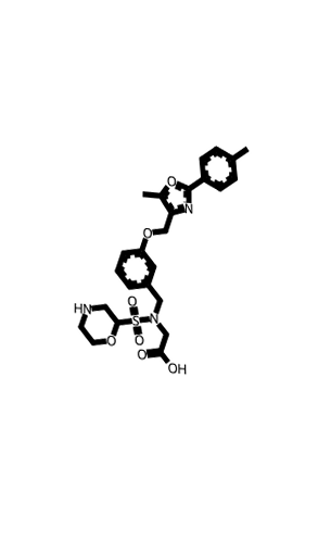 Cc1ccc(-c2nc(COc3cccc(CN(CC(=O)O)S(=O)(=O)C4CNCCO4)c3)c(C)o2)cc1